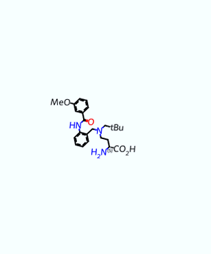 COc1cccc(C(=O)Nc2ccccc2CN(CC[C@H](N)C(=O)O)CC(C)(C)C)c1